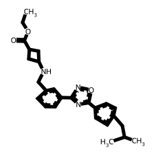 CCOC(=O)C1CC(NCc2cccc(-c3noc(-c4ccc(CC(C)C)cc4)n3)c2)C1